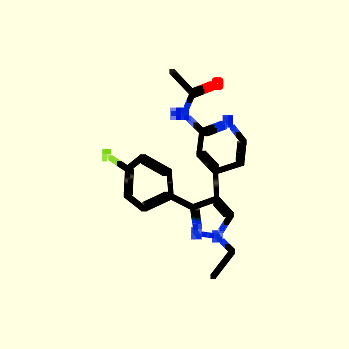 CCn1cc(-c2ccnc(NC(C)=O)c2)c(-c2ccc(F)cc2)n1